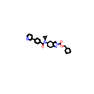 O=C(c1ccc(-c2cccnc2)cc1)N(C1CC1)C1CCc2nn(C(=O)OCc3ccccc3)cc2C1